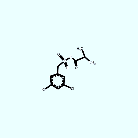 CC(C)C(=O)OS(=O)(=O)Cc1cc(Cl)cc(Cl)c1